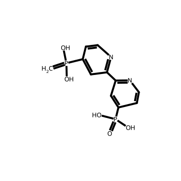 C=P(O)(O)c1ccnc(-c2cc(P(=O)(O)O)ccn2)c1